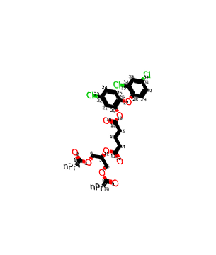 CCCC(=O)OCC(COC(=O)CCC)OC(=O)CCCC(=O)Oc1cc(Cl)ccc1Oc1ccc(Cl)cc1Cl